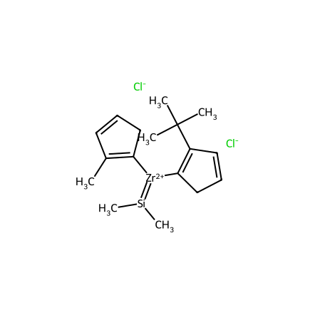 CC1=[C]([Zr+2]([C]2=C(C(C)(C)C)C=CC2)=[Si](C)C)CC=C1.[Cl-].[Cl-]